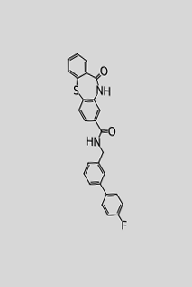 O=C(NCc1cccc(-c2ccc(F)cc2)c1)c1ccc2c(c1)NC(=O)c1ccccc1S2